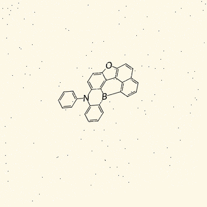 c1ccc(N2c3ccccc3B3c4cccc5ccc6oc7ccc2c3c7c6c45)cc1